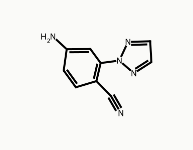 N#Cc1ccc(N)cc1-n1nccn1